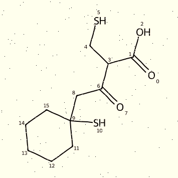 O=C(O)C(CS)C(=O)CC1(S)CCCCC1